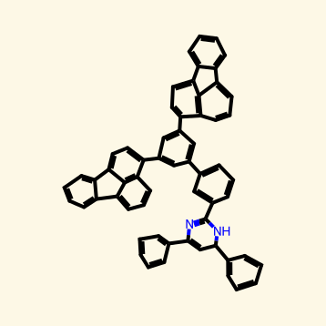 C1=C(c2ccccc2)N=C(c2cccc(-c3cc(-c4ccc5c6c(cccc46)-c4ccccc4-5)cc(-c4ccc5c6c(cccc46)-c4ccccc4-5)c3)c2)NC1c1ccccc1